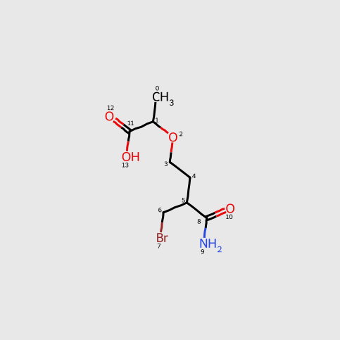 CC(OCCC(CBr)C(N)=O)C(=O)O